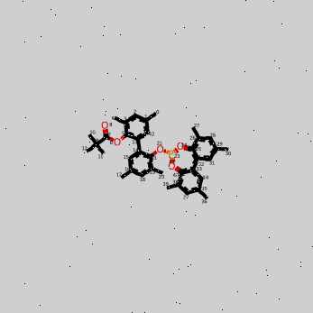 Cc1cc(C)c(OC(=O)C(C)(C)C)c(-c2cc(C)cc(C)c2Op2oc3c(C)cc(C)cc3c3cc(C)cc(C)c3o2)c1